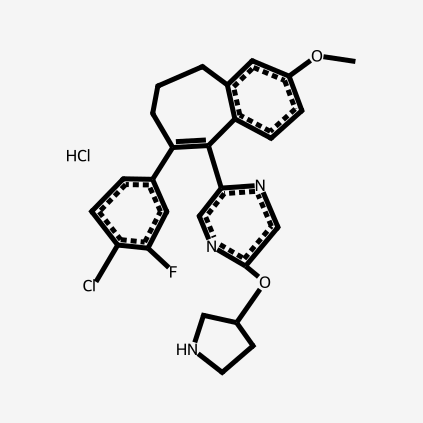 COc1ccc2c(c1)CCCC(c1ccc(Cl)c(F)c1)=C2c1cnc(OC2CCNC2)cn1.Cl